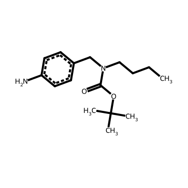 CCCCN(Cc1ccc(N)cc1)C(=O)OC(C)(C)C